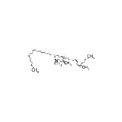 CCCCCC/C=C\C/C=C\CCCCCCCCC(CCCCCCCC/C=C\C/C=C(/C)CCCCC)CN(C)CCNC